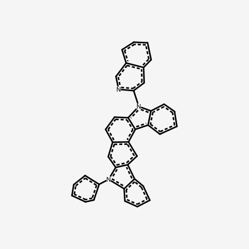 c1ccc(-n2c3ccccc3c3cc4c(ccc5c4c4ccccc4n5-c4cc5ccccc5cn4)cc32)cc1